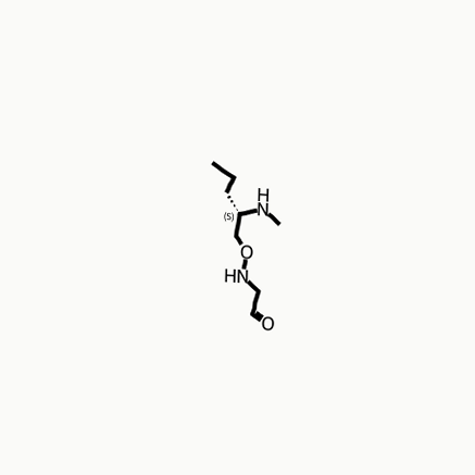 CCC[C@@H](CONCC=O)NC